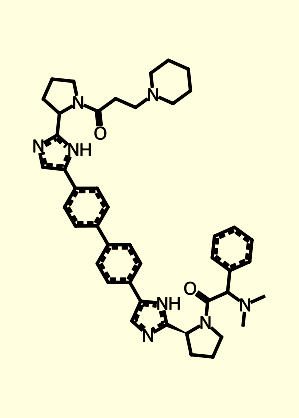 CN(C)C(C(=O)N1CCC[C@H]1c1ncc(-c2ccc(-c3ccc(-c4cnc(C5CCCN5C(=O)CCN5CCCCC5)[nH]4)cc3)cc2)[nH]1)c1ccccc1